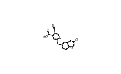 N#Cc1cnc(Cc2ccc3ncc(Cl)cc3c2)cc1C(=O)O